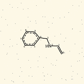 C=CNCc1ccccc1